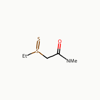 CCS(=S)CC(=O)NC